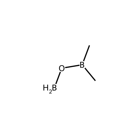 BOB(C)C